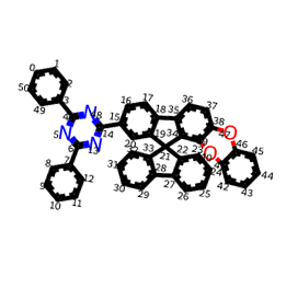 c1ccc(-c2nc(-c3ccccc3)nc(-c3ccc4c(c3)C3(c5ccccc5-c5ccccc53)c3c-4ccc4c3Oc3ccccc3O4)n2)cc1